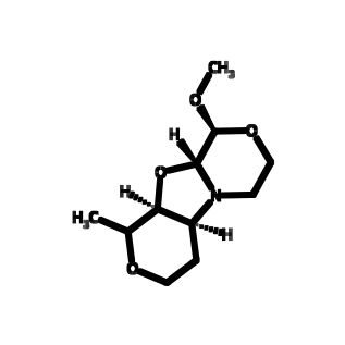 CO[C@H]1OCCN2[C@@H]1O[C@@H]1C(C)OCC[C@@H]12